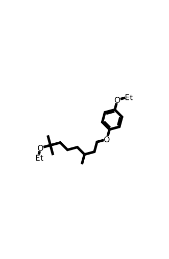 CCOc1ccc(OCCC(C)CCCC(C)(C)OCC)cc1